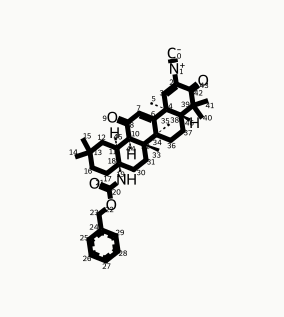 [C-]#[N+]C1=C[C@]2(C)C3=CC(=O)[C@@H]4[C@@H]5CC(C)(C)CC[C@]5(NC(=O)OCc5ccccc5)CC[C@@]4(C)[C@]3(C)CC[C@H]2C(C)(C)C1=O